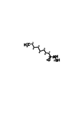 CCCCCCCCC(=O)NS